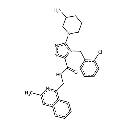 Cc1cc2ccccc2c(CNC(=O)c2nnc(N3CCCC(N)C3)n2Cc2ccccc2Cl)n1